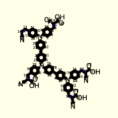 [C-]#[N+]/C(=C\c1ccc(N(c2ccc(/C=C\C#N)cc2)c2ccc(-c3ccc(N(c4ccc(/C=C(/C#N)C(=O)O)cc4)c4ccc(-c5ccc(N(c6ccc(/C=C(/C#N)C(=O)O)cc6)c6ccc(/C=C(\C#N)C(=O)O)cc6)cc5)cc4)cc3)cc2)cc1)C(=O)O